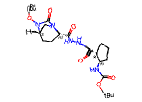 CCCCON1C(=O)N2C[C@@H]1CC[C@H]2C(=O)NNC(=O)[C@@H]1CCC[C@H]1NC(=O)OC(C)(C)C